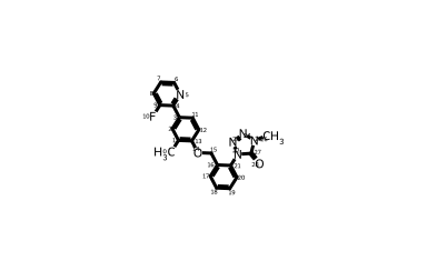 Cc1cc(-c2ncccc2F)ccc1OCc1ccccc1-n1nnn(C)c1=O